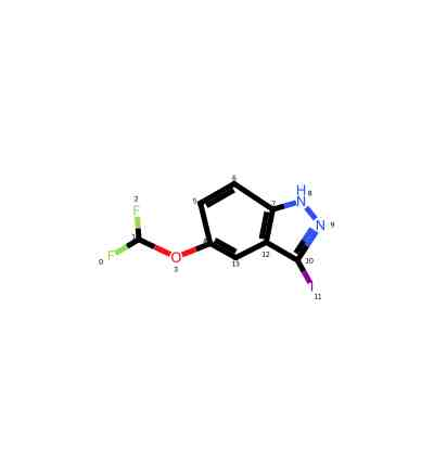 FC(F)Oc1ccc2[nH]nc(I)c2c1